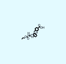 CCCOC(=O)NN=C[C@@H]1[C@@H](Cc2ccc(C(=O)O)cc2)[C@H]2CC[C@@H]1O2